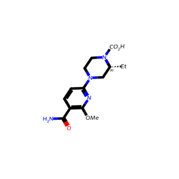 CC[C@@H]1CN(c2ccc(C(N)=O)c(OC)n2)CCN1C(=O)O